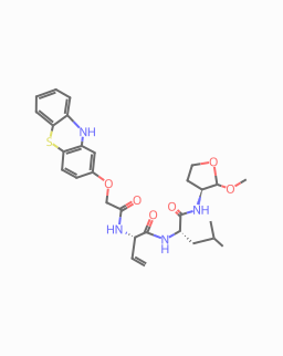 C=C[C@H](NC(=O)COc1ccc2c(c1)Nc1ccccc1S2)C(=O)N[C@@H](CC(C)C)C(=O)N[C@H]1CCOC1OC